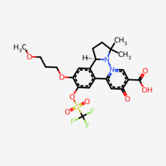 COCCCOc1cc2c(cc1OS(=O)(=O)C(F)(F)F)-c1cc(=O)c(C(=O)O)cn1N1[C@@H]2CCC1(C)C